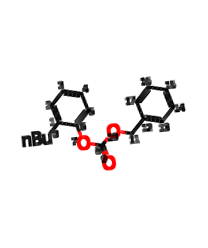 CCCCc1ccccc1OC(=O)OCc1ccccc1